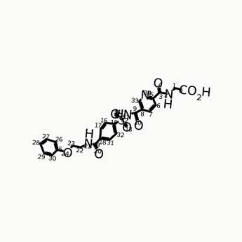 O=C(O)CNC(=O)c1ccc(C(=O)NS(=O)(=O)c2ccc(C(=O)NCCOc3ccccc3)cc2)cn1